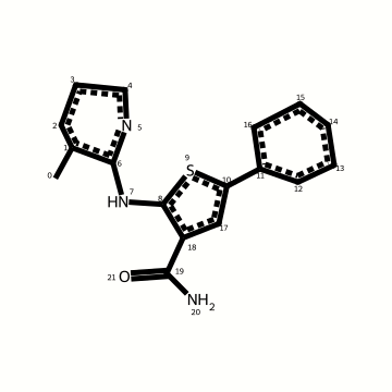 Cc1cccnc1Nc1sc(-c2ccccc2)cc1C(N)=O